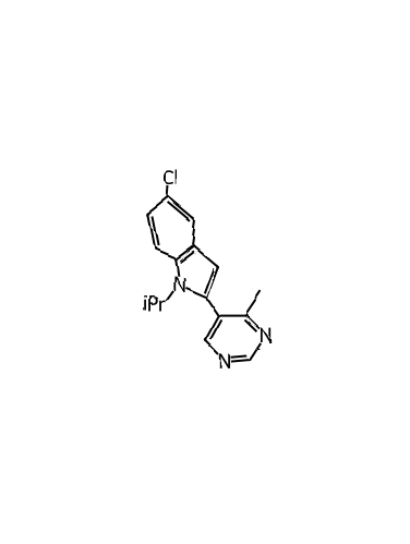 Cc1ncncc1-c1cc2cc(Cl)ccc2n1C(C)C